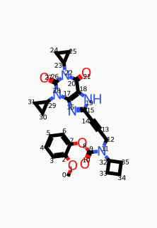 COc1ccccc1OC(=O)N(CC#Cc1nc2c([nH]1)c(=O)n(C1CC1)c(=O)n2C1CC1)C1CCC1